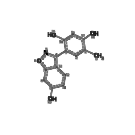 Cc1cc(-c2noc3cc(O)ccc23)c(O)cc1O